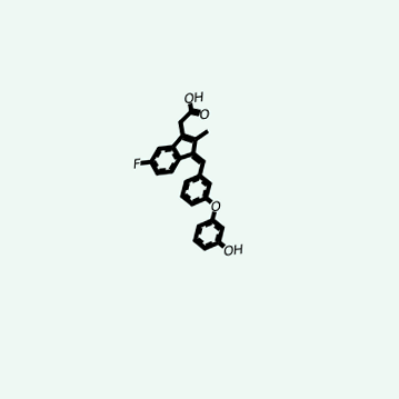 CC1=C(CC(=O)O)c2cc(F)ccc2/C1=C\c1cccc(Oc2cccc(O)c2)c1